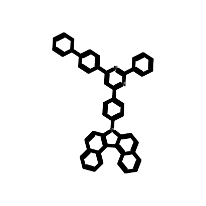 C1=CCC(c2ccc(-c3cc(-c4ccc(-n5c6ccc7ccccc7c6c6c7ccccc7ccc65)cc4)nc(-c4ccccc4)n3)cc2)C=C1